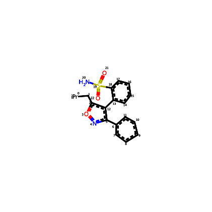 CC(C)Cc1onc(-c2ccccc2)c1-c1ccccc1S(N)(=O)=O